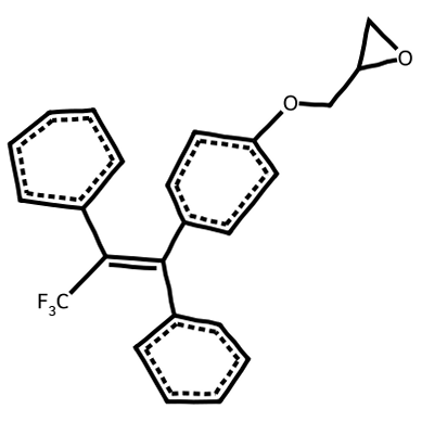 FC(F)(F)/C(=C(\c1ccccc1)c1ccc(OCC2CO2)cc1)c1ccccc1